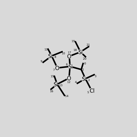 CC([Si](C)(C)Cl)[Si](O[Si](C)(C)C)(O[Si](C)(C)C)O[Si](C)(C)C